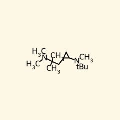 CN(C1CC1CC(C)(C)N(C)C)C(C)(C)C